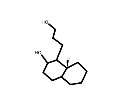 OCCCC1C(O)CCC2CCCC[C@H]21